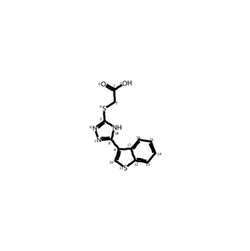 O=C(O)CSc1nnc(-c2csc3ccccc23)[nH]1